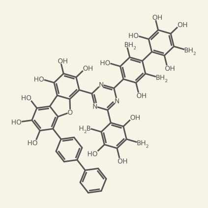 Bc1c(O)c(O)c(B)c(-c2nc(-c3c(O)c(B)c(-c4c(O)c(B)c(O)c(O)c4O)c(B)c3O)nc(-c3c(O)c(O)c(O)c4c3oc3c(-c5ccc(-c6ccccc6)cc5)c(O)c(O)c(O)c34)n2)c1O